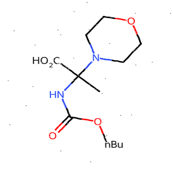 CCCCOC(=O)NC(C)(C(=O)O)N1CCOCC1